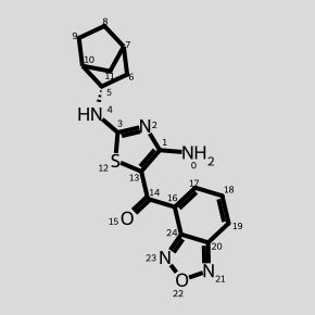 Nc1nc(N[C@H]2CC3CCC2C3)sc1C(=O)c1cccc2nonc12